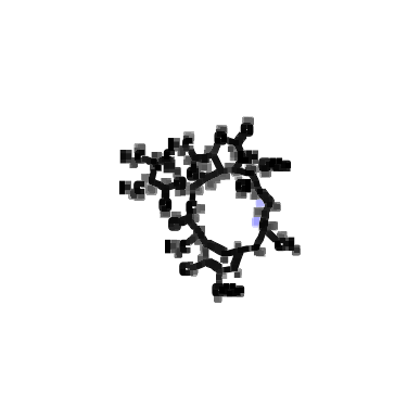 COc1cc2cc(c1Cl)N(C)C(=O)C[C@H](OC(=O)[C@H](C)N(C)C)[C@@]13CC(C)(O1)C1OC(=O)N[C@](O)(C13)[C@H](OC)/C=C/C=C(\C)C2